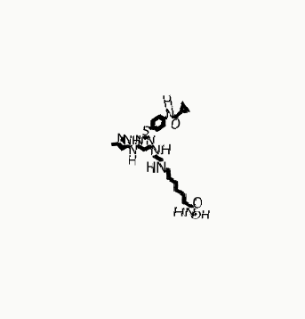 Cc1cc(Nc2cc(NCCNCCCCCCC(=O)NO)nc(Sc3ccc(NC(=O)C4CC4)cc3)n2)[nH]n1